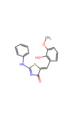 COc1cccc(/C=C2\SC(Nc3ccccc3)=NC2=O)c1O